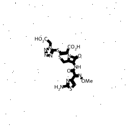 CON=C(C(=O)NC1C(=O)N2C(C(=O)O)=C(Sc3nnnn3CC(=O)O)SCC12)c1csc(N)n1